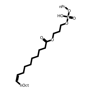 CCCCCCCC/C=C\CCCCCCCC(=O)OCCCOP(=O)(O)OCCC